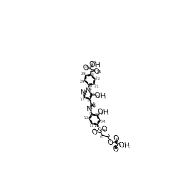 O=S(=O)(O)OCCS(=O)(=O)c1ccc(/N=N/c2cnn(-c3ccc(S(=O)(=O)O)cc3)c2O)c(O)c1